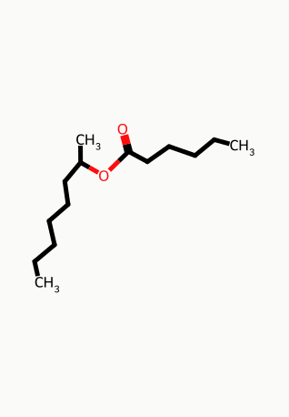 CCCCCCC(C)OC(=O)CCCCC